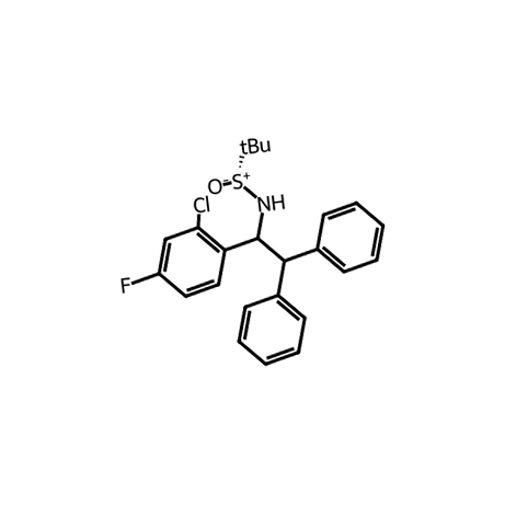 CC(C)(C)[S@@+]([O-])NC(c1ccc(F)cc1Cl)C(c1ccccc1)c1ccccc1